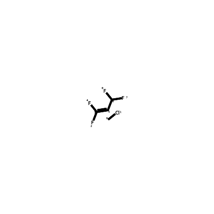 CCl.FC(F)=CC(F)F